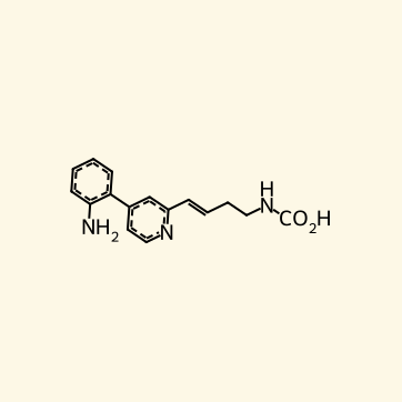 Nc1ccccc1-c1ccnc(C=CCCNC(=O)O)c1